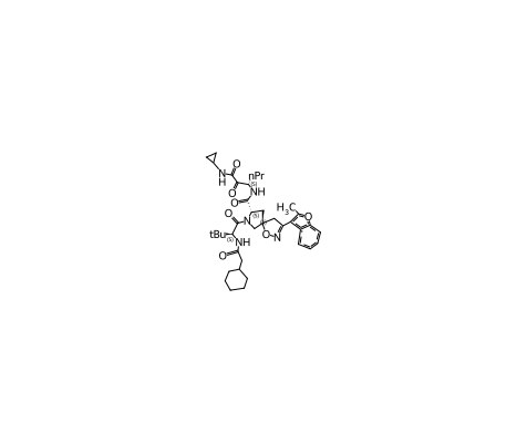 CCC[C@H](NC(=O)[C@@H]1C[C@]2(CC(c3c(C)oc4ccccc34)=NO2)CN1C(=O)[C@@H](NC(=O)CC1CCCCC1)C(C)(C)C)C(=O)C(=O)NC1CC1